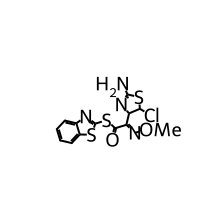 CO/N=C(/C(=O)Sc1nc2ccccc2s1)C1N=C(N)SC1Cl